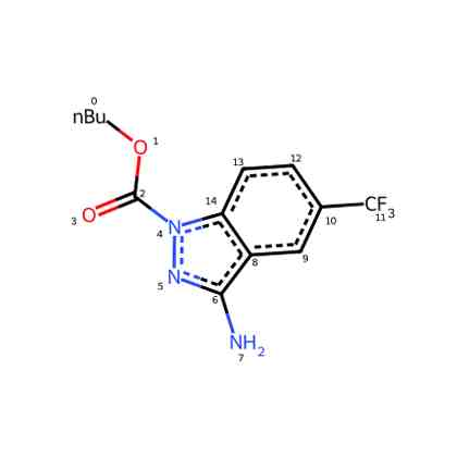 CCCCOC(=O)n1nc(N)c2cc(C(F)(F)F)ccc21